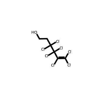 OCCC(Cl)(Cl)C(Cl)(Cl)C(Cl)=C(Cl)Cl